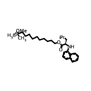 CO[Si](C)(C)CCCCCCCCCCOC(=O)[C@@H](CC(C)C)Nc1cccc2ccccc12